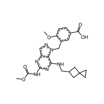 COC(=O)Nc1nc(NCC2CC3(CC3)C2)c2c(cnn2Cc2cc(C(=O)O)ccc2OC)n1